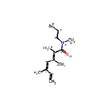 C=C/C(C)=C\C(C)=C(/C)C(=O)N(C)CCC(C)CC